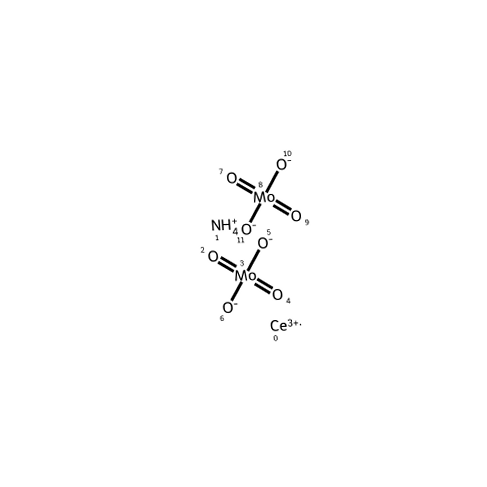 [Ce+3].[NH4+].[O]=[Mo](=[O])([O-])[O-].[O]=[Mo](=[O])([O-])[O-]